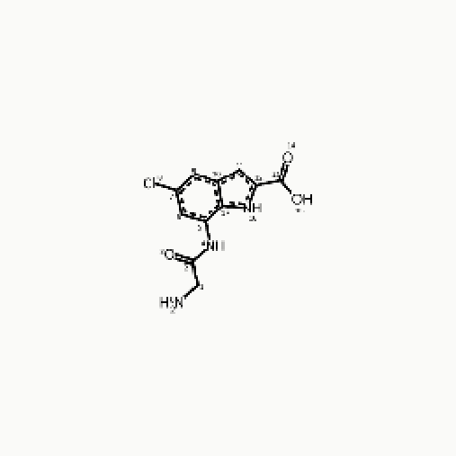 NCC(=O)Nc1cc(Cl)cc2cc(C(=O)O)[nH]c12